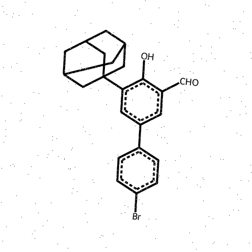 O=Cc1cc(-c2ccc(Br)cc2)cc(C23CC4CC(CC(C4)C2)C3)c1O